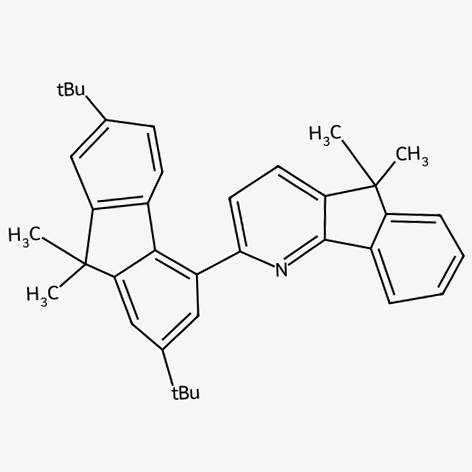 CC(C)(C)c1ccc2c(c1)C(C)(C)c1cc(C(C)(C)C)cc(-c3ccc4c(n3)-c3ccccc3C4(C)C)c1-2